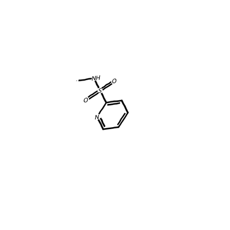 [CH2]NS(=O)(=O)c1ccccn1